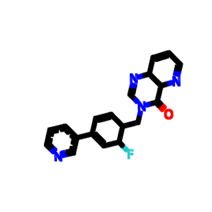 O=C1C2N=CC=CC2N=CN1CC1C=CC(c2cccnc2)=CC1F